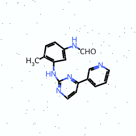 Cc1ccc(NC=O)cc1Nc1nccc(-c2cccnc2)n1